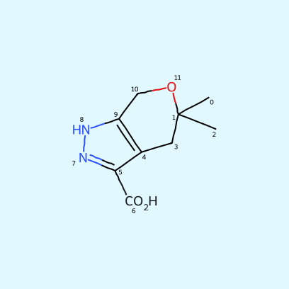 CC1(C)Cc2c(C(=O)O)n[nH]c2CO1